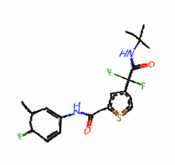 CC1C=C(NC(=O)c2cc(C(F)(F)C(=O)NC(C)(C)C)cs2)C=CC1F